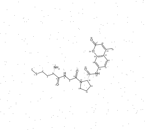 CSCC[C@H](N)C(=O)NCC(=O)N1CCC[C@H]1C(=O)Nc1ccc2c(C)cc(=O)oc2c1